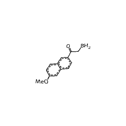 BCC(=O)c1ccc2cc(OC)ccc2c1